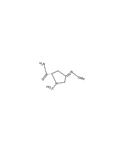 CON=C1C[C@@H](C(N)=O)N(C(=O)O)C1